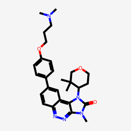 CN(C)CCCOc1ccc(-c2ccc3nnc4c(c3c2)n(C2CCOCC2(C)C)c(=O)n4C)cc1